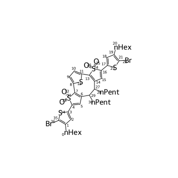 CCCCCCc1cc(C2=CC3=C(c4ccc(s4)C4=C(C=C(c5cc(CCCCCC)c(Br)s5)S4(=O)=O)C(CCCCC)C3CCCCC)S2(=O)=O)sc1Br